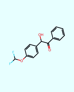 O=C(c1ccccc1)C(O)c1ccc(OC(F)F)cc1